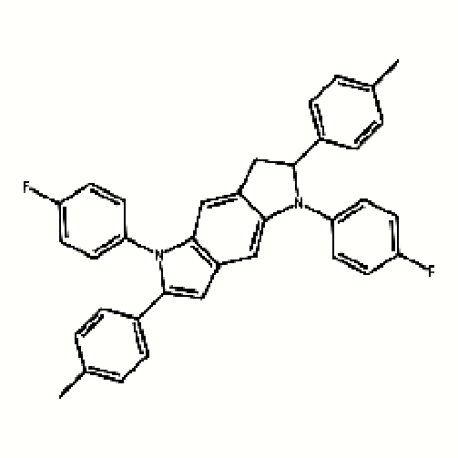 Cc1ccc(-c2cc3cc4c(cc3n2-c2ccc(F)cc2)CC(c2ccc(C)cc2)N4c2ccc(F)cc2)cc1